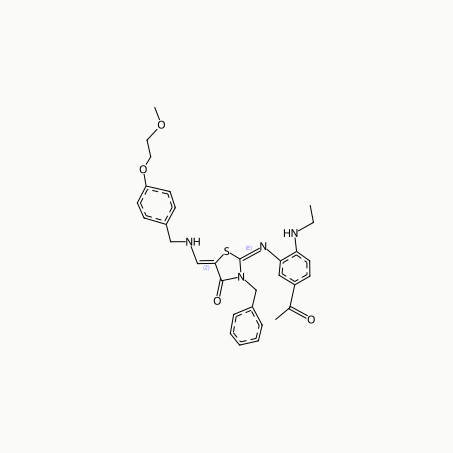 CCNc1ccc(C(C)=O)cc1/N=C1/S/C(=C\NCc2ccc(OCCOC)cc2)C(=O)N1Cc1ccccc1